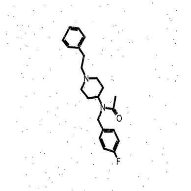 CC(=O)N(Cc1ccc(F)cc1)C1CCN(CCc2ccccc2)CC1